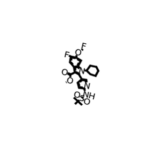 COC(=O)c1c(-c2ccc(NS(=O)(=O)C(C)(C)C)nc2)n(C2CCCCC2)c2cc(OCF)c(F)cc12